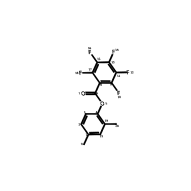 Cc1ccc(OC(=O)c2c(F)c(F)c(F)c(F)c2F)c(C)c1